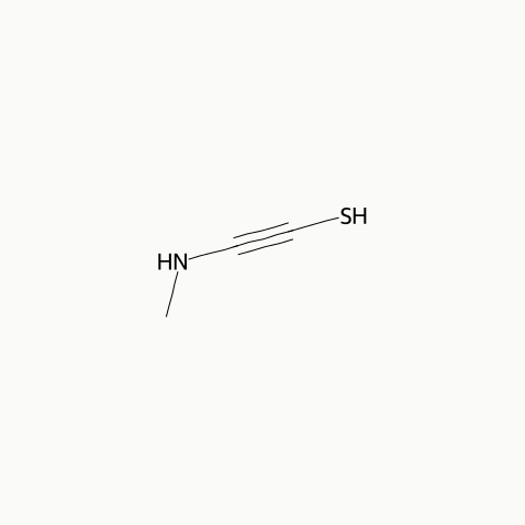 CNC#CS